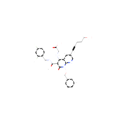 O=C(O)CNc1c(C(=O)NCc2ccc(F)cc2F)c(=O)n(OCc2ccccc2)c2ncc(C#CCCCO)cc12